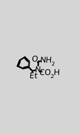 CCC(c1ccccc1)N(C(N)=O)C(=O)O